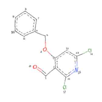 O=Cc1c(OCc2ccccc2)cc(Cl)nc1Cl